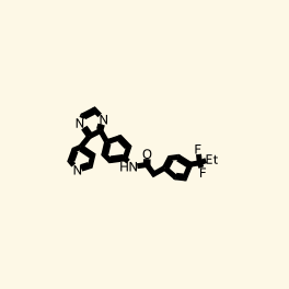 CCC(F)(F)c1ccc(CC(=O)Nc2ccc(-c3nccnc3-c3ccncc3)cc2)cc1